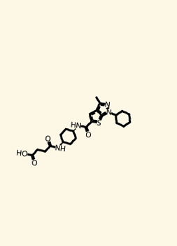 Cc1nn(C2CCCCC2)c2sc(C(=O)N[C@H]3CC[C@H](NC(=O)CCC(=O)O)CC3)cc12